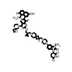 CCc1c(F)ccc2cc(O)cc(-c3ncc4c(N5CCC[C@]6(CCO6)C5)nc(OCC5(CN6CCC7(CC6)CC(F)(CN6CCN(c8ccc9c(c8)n(C)c(=O)n9C8CCC(=O)NC8=O)CC6)C7)CC5)nc4c3F)c12